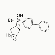 CC[C@](O)(c1ccc(-c2ccccc2)cc1)[C@H]1CC2O[C@H]2C1